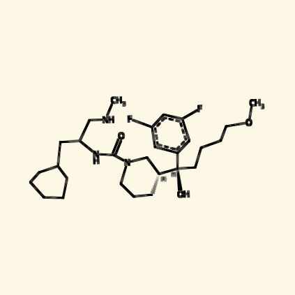 CNCC(CC1CCCCC1)NC(=O)N1CCC[C@@H]([C@@](O)(CCCCOC)c2cc(F)cc(F)c2)C1